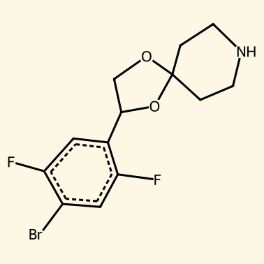 Fc1cc(C2COC3(CCNCC3)O2)c(F)cc1Br